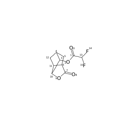 O=C(OC1C2CC3C(=O)OC1C3C2)C(F)F